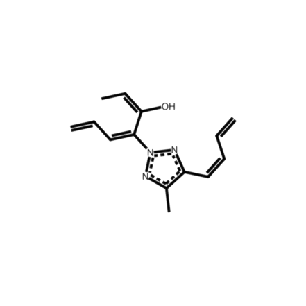 C=C/C=C\c1nn(C(=C/C=C)/C(O)=C\C)nc1C